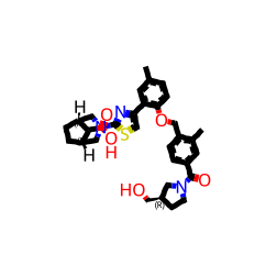 Cc1ccc(OCc2ccc(C(=O)N3CC[C@@H](CO)C3)cc2C)c(-c2csc(N3C[C@@H]4CC[C@@H](C3)C4C(=O)O)n2)c1